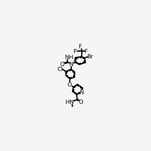 CNC(=O)c1cc(Oc2ccc(N(C(N)=O)c3ccc(Br)c(C(F)(F)F)c3)c(Cl)c2)ccn1